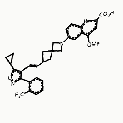 COc1cc(C(=O)O)nc2ccc(N3CC4(CC(C=Cc5c(-c6ccccc6C(F)(F)F)noc5C5CC5)C4)C3)cc12